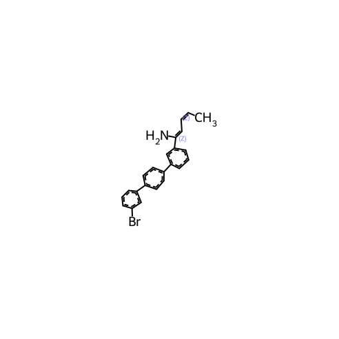 C/C=C\C=C(/N)c1cccc(-c2ccc(-c3cccc(Br)c3)cc2)c1